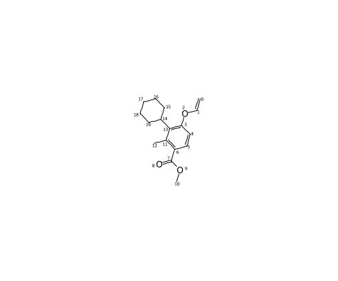 C=COc1ccc(C(=O)OC)c(C)c1C1CCCCC1